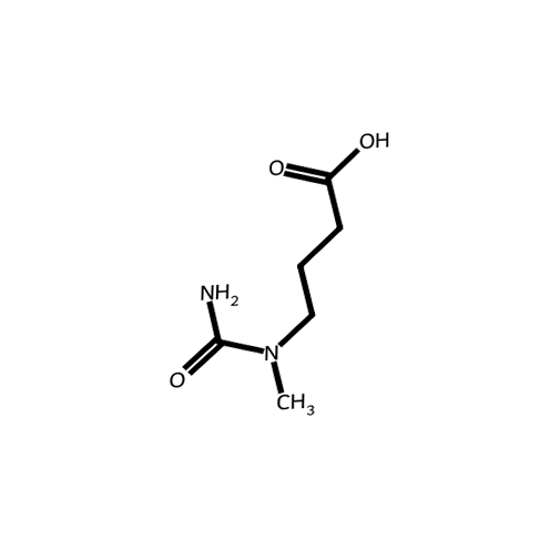 CN(CCCC(=O)O)C(N)=O